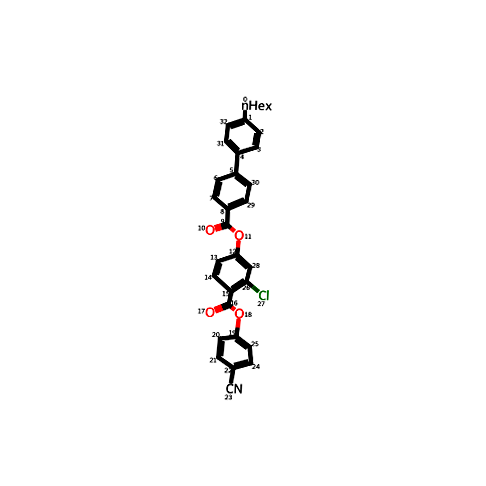 CCCCCCc1ccc(-c2ccc(C(=O)Oc3ccc(C(=O)Oc4ccc(C#N)cc4)c(Cl)c3)cc2)cc1